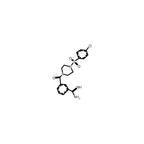 N=C(N)c1cccc(C(=O)N2CCN(S(=O)(=O)c3ccc(Cl)cc3)CC2)c1